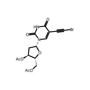 CC(=O)OC[C@H]1O[C@@H](n2cc(C#CBr)c(=O)[nH]c2=O)C[C@@H]1OC(C)=O